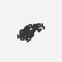 CNC(=O)[C@@]1(C)CCCC[C@H]1C(=O)N1CCc2c(Cl)ccc(OCc3nnn(C)c3C3CC3)c2[C@H]1CN1CCCC1=O